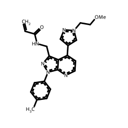 C=CC(=O)NCc1nn(-c2ccc(C)cc2)c2nccc(-c3cnn(CCOC)c3)c12